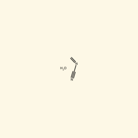 C=NC#N.O